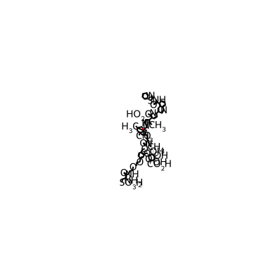 Cc1c(-c2ccc(-c3cnc4cccc(C(=O)Nc5nc6ccccc6s5)c4c3)nc2C(=O)O)cnn1CC12CC3(C)CC(C)(C1)CC(OCCN(C)C(=O)OCc1ccc(OCCOCCNC(=O)[C@@H](N)CS(=O)(=O)O)cc1O[C@@H]1O[C@H](C(=O)O)[C@@H](O)[C@H](O)[C@H]1O)(C3)C2